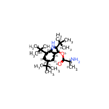 C[C@H](N)C(=O)Oc1c(C(C)(C)C)[nH]c2c(C(C)(C)C)cc(C(C)(C)C)cc12